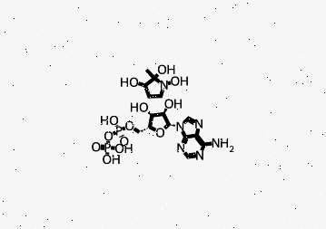 CC1(O)C(O)CCN1O.Nc1ncnc2c1ncn2[C@@H]1O[C@H](COP(=O)(O)OP(=O)(O)O)[C@@H](O)[C@H]1O